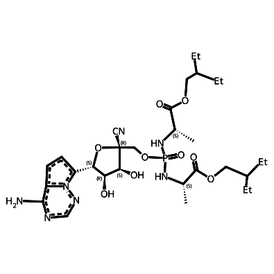 CCC(CC)COC(=O)[C@H](C)NP(=O)(N[C@@H](C)C(=O)OCC(CC)CC)OC[C@@]1(C#N)O[C@@H](c2ccc3c(N)ncnn23)[C@H](O)[C@@H]1O